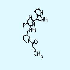 CCCC(=O)N1CCC[C@@H](CNc2nc(-c3c[nH]c4ncccc34)ncc2F)C1